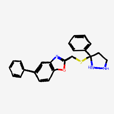 c1ccc(-c2ccc3oc(CSC4(c5ccccc5)CCNN4)nc3c2)cc1